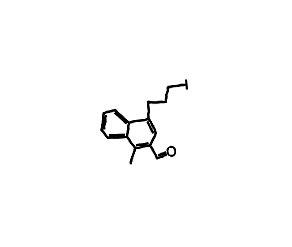 Cc1c(C=O)cc(CCCI)c2ccccc12